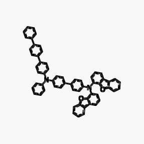 c1ccc(-c2ccc(-c3ccc(N(c4ccccc4)c4ccc(-c5ccc(N(c6cccc7c6oc6ccccc67)c6cccc7c6oc6ccccc67)cc5)cc4)cc3)cc2)cc1